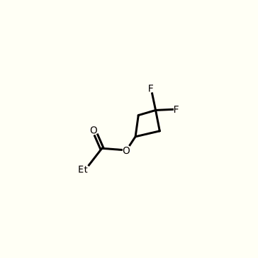 CCC(=O)OC1CC(F)(F)C1